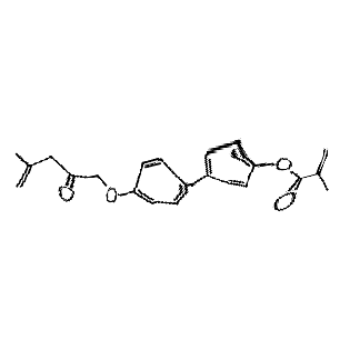 C=C(C)CC(=O)COc1ccc(-c2ccc(OC(=O)C(=C)C)cc2)cc1